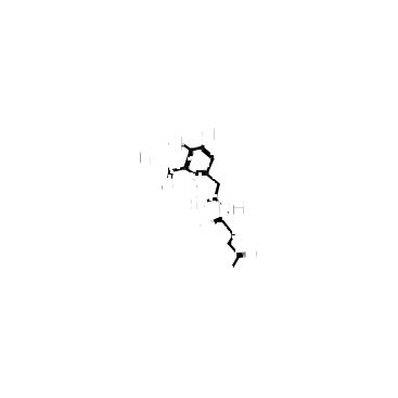 CC(=O)CCC(=O)NC1BOc2c(cc(Cl)c(Cl)c2C(=O)O)C1